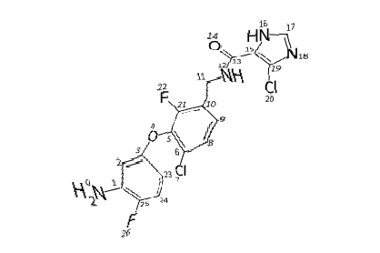 Nc1cc(Oc2c(Cl)ccc(CNC(=O)c3[nH]cnc3Cl)c2F)ccc1F